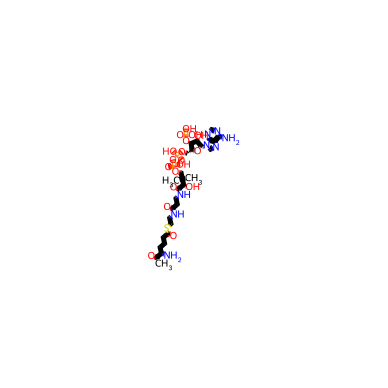 CC(=O)C(N)CCCC(=O)SCCNC(=O)CCNC(=O)[C@H](O)C(C)(C)COP(=O)(O)OP(=O)(O)OC[C@H]1O[C@@H](n2cnc3c(N)ncnc32)[C@H](O)[C@@H]1OP(=O)(O)O